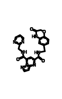 O=C1COc2ccc(CNC(=O)c3cc(C(=O)NCc4ncccn4)n4nccc4n3)cc2N1